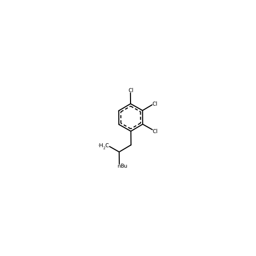 [CH2]C(CCCC)Cc1ccc(Cl)c(Cl)c1Cl